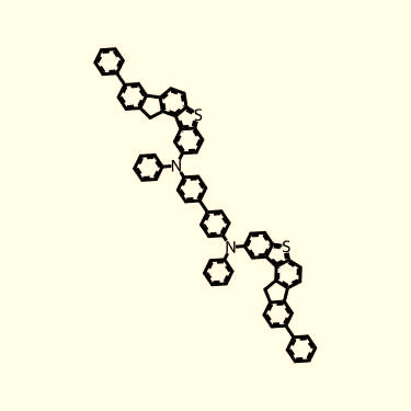 c1ccc(-c2ccc3c(c2)-c2ccc4sc5ccc(N(c6ccccc6)c6ccc(-c7ccc(N(c8ccccc8)c8ccc9sc%10ccc%11c(c%10c9c8)Cc8ccc(-c9ccccc9)cc8-%11)cc7)cc6)cc5c4c2C3)cc1